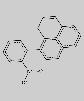 O=[N+]([O-])c1ccccc1-c1ccc2cccc3c2c1CC=C3